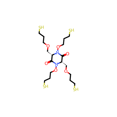 O=C1[C@H](COCCCS)N(OCCCS)C(=O)[C@H](COCCCS)N1OCCCS